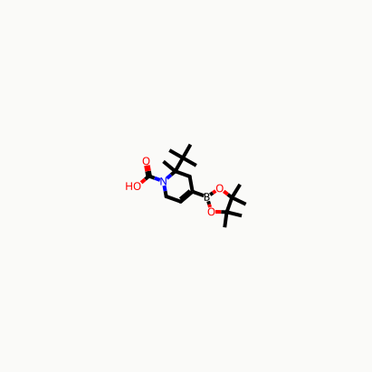 CC(C)(C)C1(C)CC(B2OC(C)(C)C(C)(C)O2)=CCN1C(=O)O